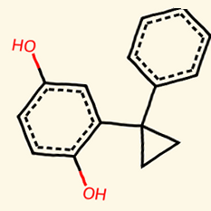 Oc1ccc(O)c(C2(c3ccccc3)CC2)c1